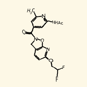 CC(=O)Nc1cc(C(=O)N2Cc3ccc(OCC(F)F)nc3O2)cc(C)n1